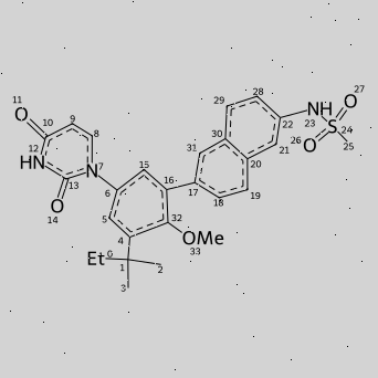 CCC(C)(C)c1cc(-n2ccc(=O)[nH]c2=O)cc(-c2ccc3cc(NS(C)(=O)=O)ccc3c2)c1OC